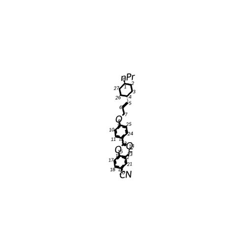 CCC[C@H]1CC[C@H](/C=C/COc2ccc(C(=O)Oc3ccc(C#N)cc3F)cc2)CC1